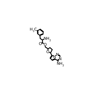 Cc1cccc(CC(N)C(=O)OCC2CCC(c3ccc4c(N)ncnn34)O2)c1